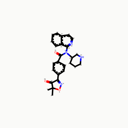 CC1(C)ON=C(c2ccc(C(=O)N(c3nccc4ccccc34)C3CCCNC3)cc2)C1=O